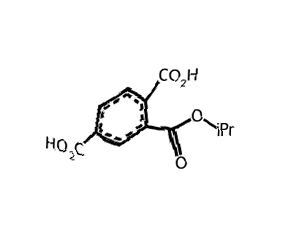 CC(C)OC(=O)c1cc(C(=O)O)ccc1C(=O)O